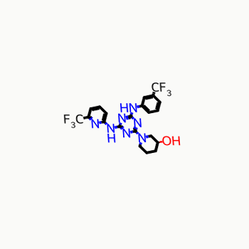 O[C@H]1CCCN(c2nc(Nc3cccc(C(F)(F)F)c3)nc(Nc3cccc(C(F)(F)F)n3)n2)C1